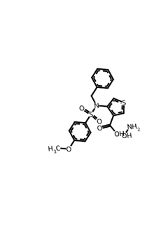 COc1ccc(S(=O)(=O)N(Cc2ccccc2)c2cscc2C(=O)O)cc1.NO